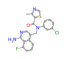 Cc1ncsc1C(=O)N(Cc1cnc(N)c2c(F)cccc12)c1cccc(Cl)c1